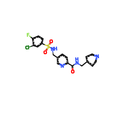 O=C(NCc1ccncc1)c1ccc(CNS(=O)(=O)c2ccc(F)c(Cl)c2)cn1